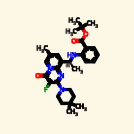 Cc1cc([C@@H](C)Nc2ccccc2C(=O)OC(C)(C)C)c2nc(N3CCC(C)(C)CC3)c(F)c(=O)n2c1